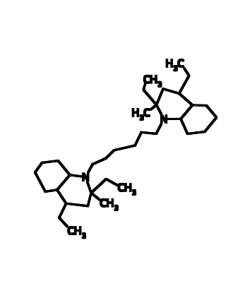 CCC1CC(C)(CC)N(CCCCCCN2C3CCCCC3C(CC)CC2(C)CC)C2CCCCC12